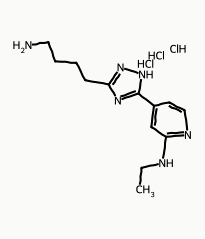 CCNc1cc(-c2nc(CCCCN)n[nH]2)ccn1.Cl.Cl.Cl